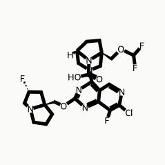 O=C(O)N1[C@H]2CC[C@]1(COC(F)F)CN(c1nc(OC[C@@]34CCCN3C[C@H](F)C4)nc3c(F)c(Cl)ncc13)C2